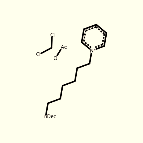 CC(=O)[O-].CCCCCCCCCCCCCCCC[n+]1ccccc1.ClCCl